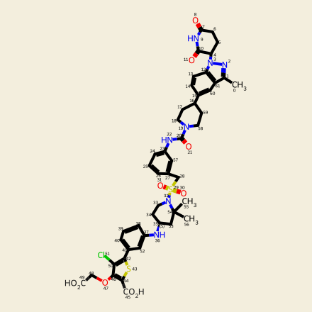 Cc1nn(C2CCC(=O)NC2=O)c2ccc(C3CCN(C(=O)Nc4cccc(CS(=O)(=O)N5CC[C@H](Nc6cccc(-c7sc(C(=O)O)c(OCC(=O)O)c7Cl)c6)CC5(C)C)c4)CC3)cc12